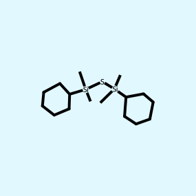 C[Si](C)(S[Si](C)(C)C1CCCCC1)C1CCCCC1